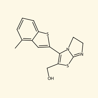 Cc1cccc2sc(C3=C(CO)SC4=NCCN43)cc12